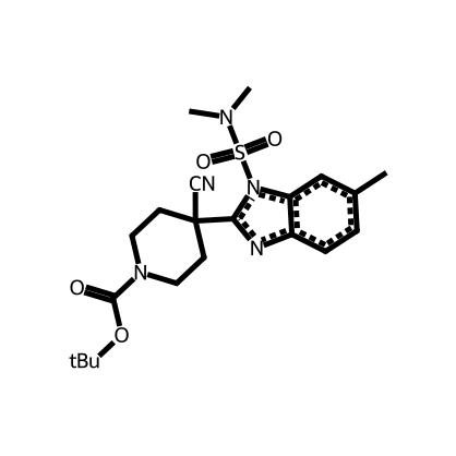 Cc1ccc2nc(C3(C#N)CCN(C(=O)OC(C)(C)C)CC3)n(S(=O)(=O)N(C)C)c2c1